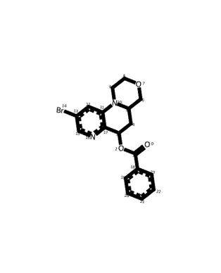 O=C(OC1CC2COCCN2c2cc(Br)cnc21)c1ccccc1